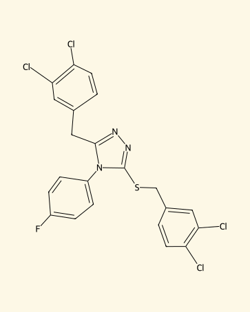 Fc1ccc(-n2c(Cc3ccc(Cl)c(Cl)c3)nnc2SCc2ccc(Cl)c(Cl)c2)cc1